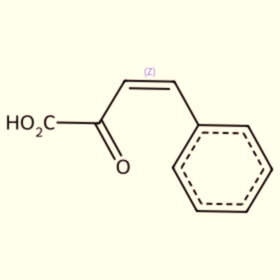 O=C(O)C(=O)/C=C\c1ccccc1